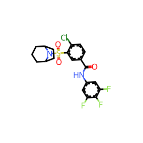 O=C(Nc1cc(F)c(F)c(F)c1)c1ccc(Cl)c(S(=O)(=O)N2C3CCCC2CC3)c1